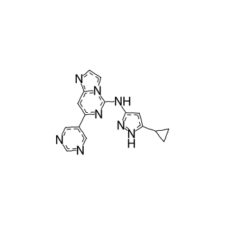 c1ncc(-c2cc3nccn3c(Nc3cc(C4CC4)[nH]n3)n2)cn1